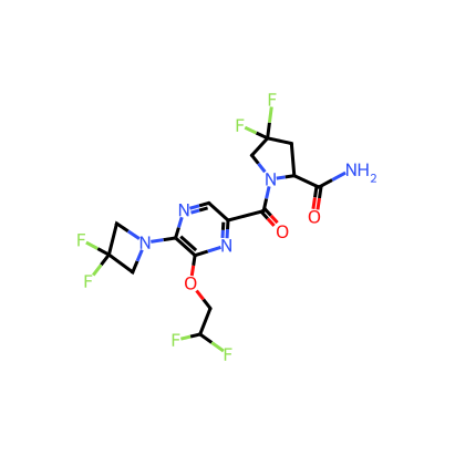 NC(=O)C1CC(F)(F)CN1C(=O)c1cnc(N2CC(F)(F)C2)c(OCC(F)F)n1